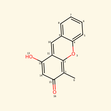 Cc1c2oc3ccccc3cc-2c(O)cc1=O